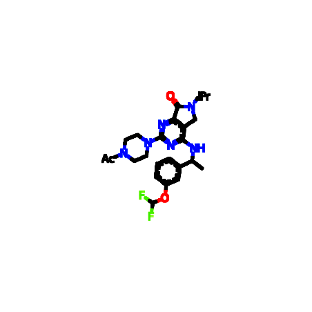 CC(=O)N1CCN(c2nc(NC(C)c3cccc(OC(F)F)c3)c3c(n2)C(=O)N(C(C)C)C3)CC1